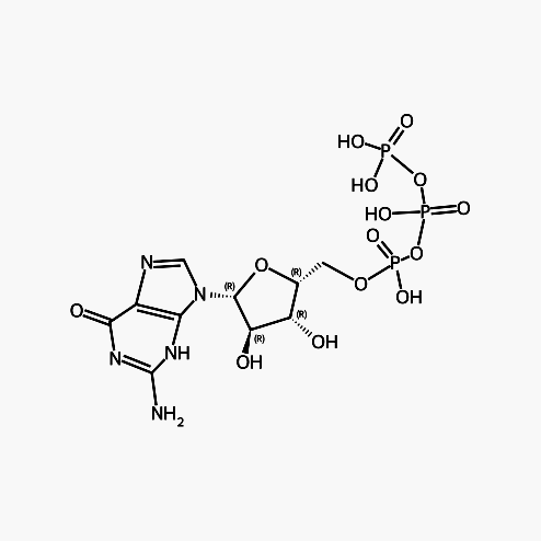 Nc1nc(=O)c2ncn([C@@H]3O[C@H](COP(=O)(O)OP(=O)(O)OP(=O)(O)O)[C@H](O)[C@H]3O)c2[nH]1